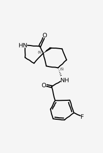 O=C(N[C@H]1CCC[C@]2(CCNC2=O)C1)c1cccc(F)c1